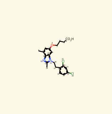 Cc1cc(OCCCC(=O)O)cc2c1nc(C)n2CCc1ccc(Cl)cc1Cl